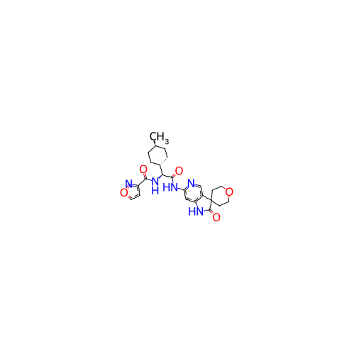 C[C@H]1CC[C@H]([C@H](NC(=O)c2ccon2)C(=O)Nc2cc3c(cn2)C2(CCOCC2)C(=O)N3)CC1